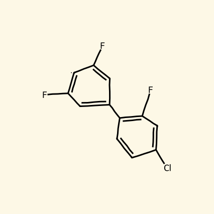 Fc1[c]c(F)cc(-c2ccc(Cl)cc2F)c1